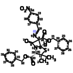 CC1(C)S[C@H]2N(C(=O)C2(/N=C/c2ccc([N+](=O)[O-])cc2)C(=O)OCc2ccccc2)[C@H]1C(=O)OCc1ccccc1